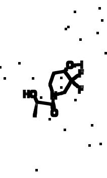 C[C@@H](O)C(=O)N1CC[C@@H](OI)C(F)(F)C1